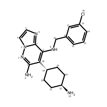 Nc1nn2ccnc2c(NCc2cccc(Cl)c2)c1[C@H]1CC[C@H](N)CC1